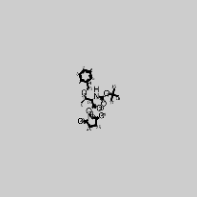 C[C@@H](OCc1ccccc1)[C@H](NC(=O)OC(C)(C)C)C(=O)ON1C(=O)CCC1=O